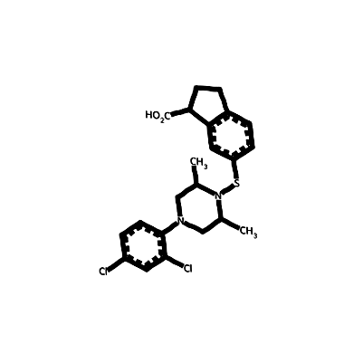 CC1CN(c2ccc(Cl)cc2Cl)CC(C)N1Sc1ccc2c(c1)C(C(=O)O)CC2